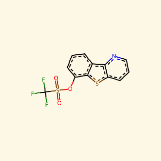 O=S(=O)(Oc1cccc2c1sc1cccnc12)C(F)(F)F